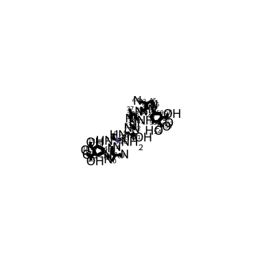 CC(=N)/C(N=Nc1c(C#N)cnn1-c1ccc(C(=O)O)c(C(=O)O)c1)=C(/N)Nc1nc(O)nc(-n2nc(C)c(N=Nc3c(C#N)cnn3-c3ccc(C(=O)O)c(C(=O)O)c3)c2N)n1